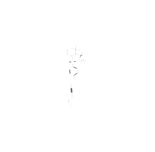 CNC(=O)C1N(S(=O)(=O)c2ccc(OCC#CCCO)cc2)CCSC1(C)C